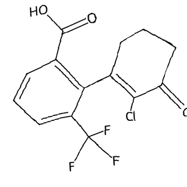 O=C1CCCC(c2c(C(=O)O)cccc2C(F)(F)F)=C1Cl